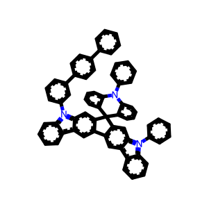 c1ccc(-c2ccc(-c3cccc(-n4c5ccccc5c5cc6c(cc54)C4(c5cc7c(cc5-6)c5ccccc5n7-c5ccccc5)c5ccccc5N(c5ccccc5)c5ccccc54)c3)cc2)cc1